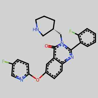 O=c1c2cc(Oc3ccc(F)cn3)ccc2nc(-c2ccccc2F)n1C[C@H]1CCCNC1